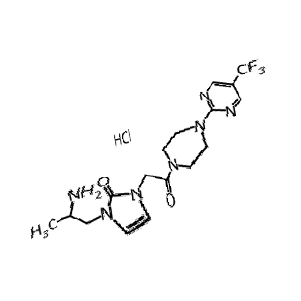 CC(N)Cn1ccn(CC(=O)N2CCN(c3ncc(C(F)(F)F)cn3)CC2)c1=O.Cl